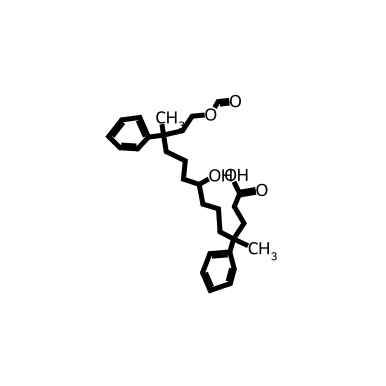 CC(CCCC(O)CCCC(C)(CCC(=O)O)c1ccccc1)(CCOC=O)c1ccccc1